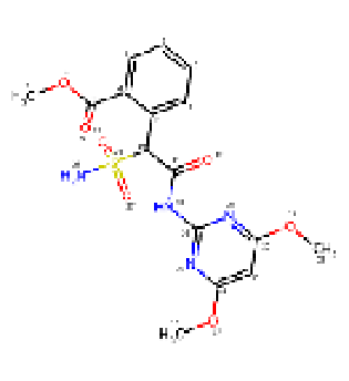 COC(=O)c1ccccc1C(C(=O)Nc1nc(OC)cc(OC)n1)S(N)(=O)=O